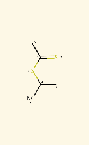 CC(=S)SC(C)C#N